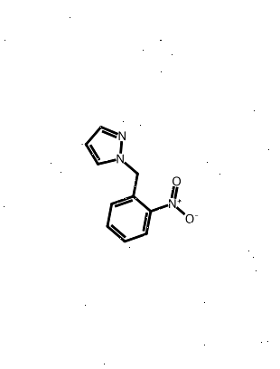 O=[N+]([O-])c1ccccc1Cn1c[c]cn1